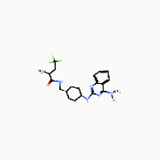 CC(CC(F)(F)F)C(=O)NC[C@H]1CC[C@@H](Nc2nc(N(C)C)c3ccccc3n2)CC1